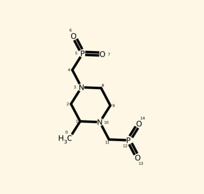 CC1CN(CP(=O)=O)CCN1CP(=O)=O